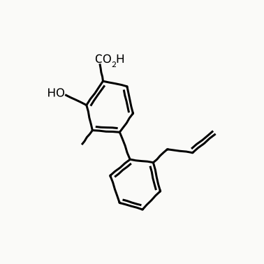 C=CCc1ccccc1-c1ccc(C(=O)O)c(O)c1C